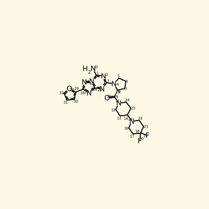 Nc1nc(N2CCC[C@H]2C(=O)N2CCC(N3CCC(F)(F)CC3)CC2)nc2nc(-c3ccco3)nn12